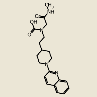 CNC(=O)CN(CCC1CCN(c2ccc3ccccc3n2)CC1)C(=O)O